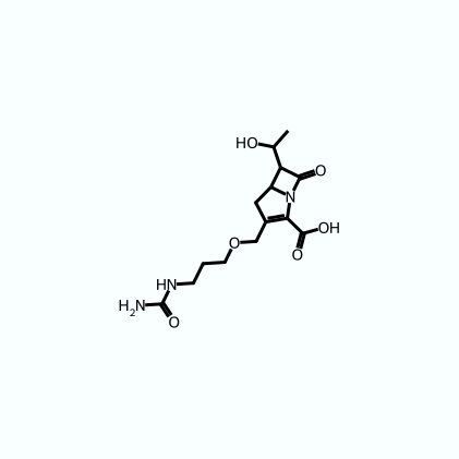 CC(O)C1C(=O)N2C(C(=O)O)=C(COCCCNC(N)=O)CC12